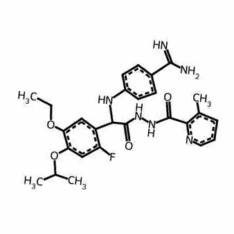 CCOc1cc(C(Nc2ccc(C(=N)N)cc2)C(=O)NNC(=O)c2ncccc2C)c(F)cc1OC(C)C